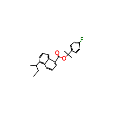 CCC(C)c1cccc2c(C(=O)OC(C)(C)c3ccc(F)cc3)cccc12